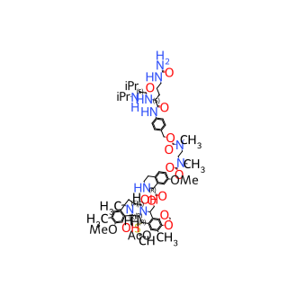 C#CS[C@@H]1c2c(OC(C)=O)c(C)c3c(c2C(COC(=O)[C@@H]2NCCc4cc(OC(=O)N(C)CCN(C)C(=O)OCc5ccc(NC(=O)[C@H](CCCNC(N)=O)NC(=O)[C@@H](NC(C)C)C(C)C)cc5)c(OC)cc42)N2[C@@H]1[C@H]1c4c(cc(C)c(OC)c4O)C4(C)C[C@@H]([C@@H]2O)N14)OCO3